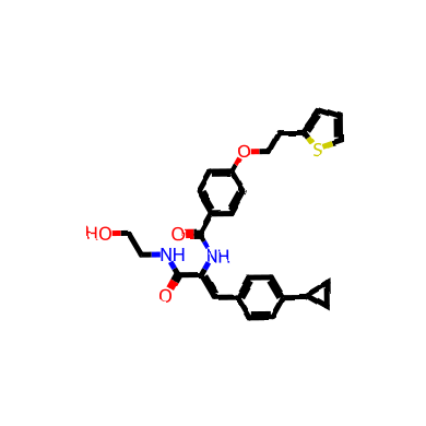 O=C(NCCO)C(=Cc1ccc(C2CC2)cc1)NC(=O)c1ccc(OCCc2cccs2)cc1